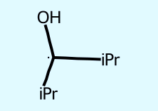 CC(C)[C](O)C(C)C